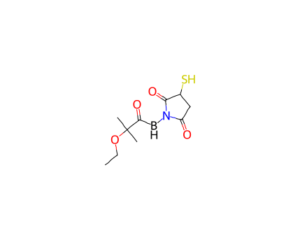 CCOC(C)(C)C(=O)BN1C(=O)CC(S)C1=O